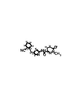 CN1N=C(C(=O)Nc2ncc(Cc3ccccc3C#N)s2)CCC1=O